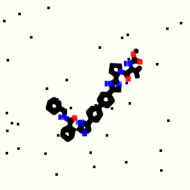 COC(=O)N[C@H](C(=O)N1CCCC1c1ncc(-c2ccc(-c3ccc(-c4cnc([C@@H]5C6CCC(C6)C5C(=O)NCc5ccccc5)[nH]4)cc3)cc2)[nH]1)C(C)C